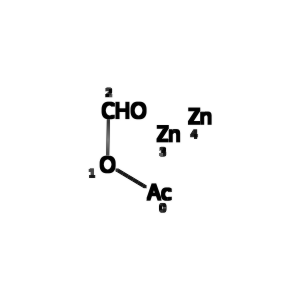 CC(=O)OC=O.[Zn].[Zn]